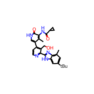 Cc1c(-c2ccnc(-c3nc4c(C)cc(C(C)(C)C)cc4[nH]3)c2CO)c[nH]c(=O)c1NC(=O)C1CC1